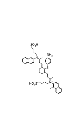 C/C(=C\C=C1/CCCC(/C=C/C(C)=[N+](\CCCCS(=O)(=O)O)c2ccc3ccccc3c2C)=C1Sc1ccc(N)cc1)N(CCCCS(=O)(=O)O)c1ccc2ccccc2c1C